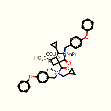 CCC[N@+](Cc1ccc(Oc2ccccc2)cc1)(CC1CC1)C(=O)C1(C(=O)[N@@+](CCC)(Cc2ccc(Oc3ccccc3)cc2)CC2CC2)C[C@@H](C(=O)O)[C@@H]1C(=O)O